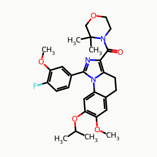 COc1cc(-c2nc(C(=O)N3CCOCC3(C)C)c3n2-c2cc(OC(C)C)c(OC)cc2CC3)ccc1F